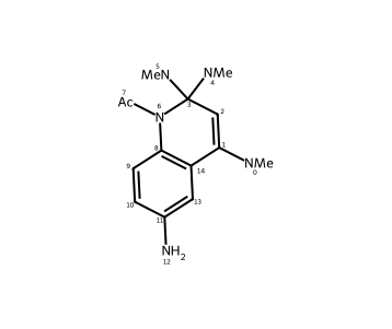 CNC1=CC(NC)(NC)N(C(C)=O)c2ccc(N)cc21